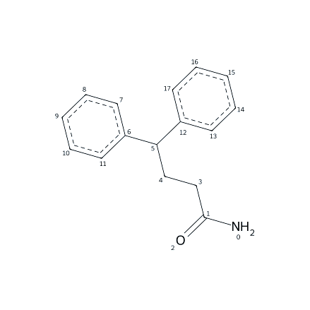 NC(=O)CCC(c1ccccc1)c1ccccc1